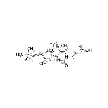 CC(C)(C)C#Cc1ccc(C2NC(=O)N(CCCC(=O)O)C=C2C(C)(C)C)cc1Cl